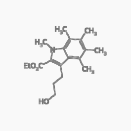 CCOC(=O)c1c(CCCO)c2c(C)c(C)c(C)c(C)c2n1C